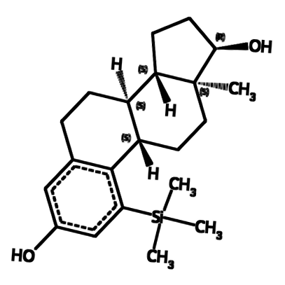 C[C@]12CC[C@@H]3c4c(cc(O)cc4[Si](C)(C)C)CC[C@H]3[C@@H]1CC[C@H]2O